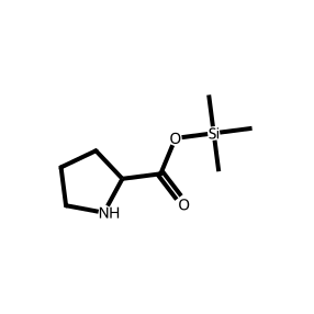 C[Si](C)(C)OC(=O)C1CCCN1